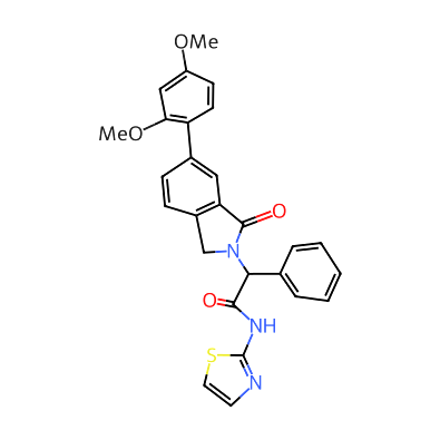 COc1ccc(-c2ccc3c(c2)C(=O)N(C(C(=O)Nc2nccs2)c2ccccc2)C3)c(OC)c1